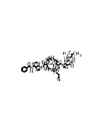 CCO[C@H]1[C@H]2OP(=S)(OCCC#N)OC[C@H]3O[C@H](n4cnc5c(NC(=O)c6ccccc6)ncnc54)[C@H](F)[C@@H]3OP(=O)(S)OC[C@H]1O[C@H]2n1cnc2c(=O)[nH]c(NC(=O)C(C)C)nc21